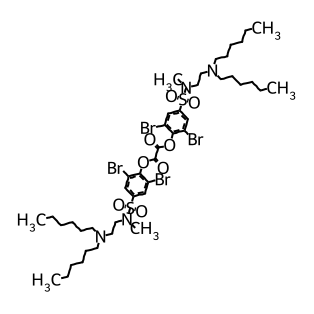 CCCCCCN(CCCCCC)CCN(C)S(=O)(=O)c1cc(Br)c(OC(=O)C(=O)Oc2c(Br)cc(S(=O)(=O)N(C)CCN(CCCCCC)CCCCCC)cc2Br)c(Br)c1